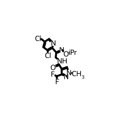 CC(C)ON=C(CNC(=O)c1cn(C)nc1C(F)F)c1ncc(Cl)cc1Cl